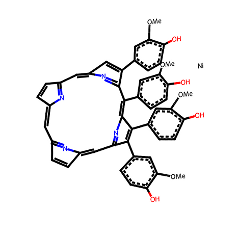 COc1cc(C2=CC3=CC4=NC(=CC5=NC(=CC6=NC(=C(c7ccc(O)c(OC)c7)C2=N3)C(c2ccc(O)c(OC)c2)=C6c2ccc(O)c(OC)c2)C=C5)C=C4)ccc1O.[Ni]